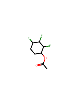 CC(=O)OC1CCC(F)C(F)C1F